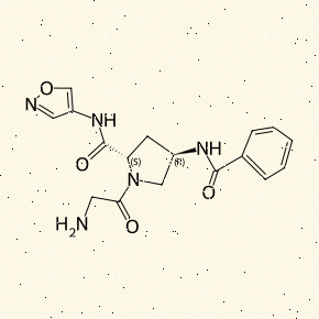 NCC(=O)N1C[C@H](NC(=O)c2ccccc2)C[C@H]1C(=O)Nc1cnoc1